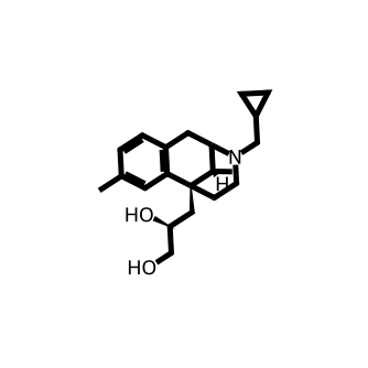 Cc1ccc2c(c1)[C@@]1(C[C@H](O)CO)CCN(CC3CC3)C(C2)[C@@H]1C